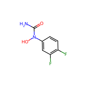 NC(=O)N(O)c1ccc(F)c(F)c1